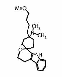 COCCCCC1(N(C)C)CCC2(CC1)OCCc1c2[nH]c2ccccc12